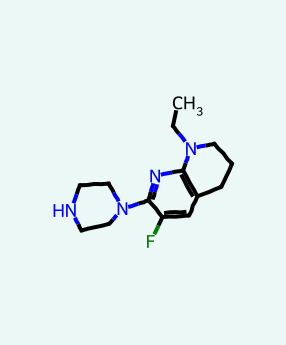 CCN1CCCc2cc(F)c(N3CCNCC3)nc21